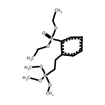 CCOP(=O)(OCC)c1ccccc1CC[Si](OC)(OC)OC